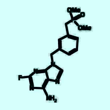 COP(=O)(Cc1cccc(Cn2cnc3c(N)nc(F)nc32)c1)OC